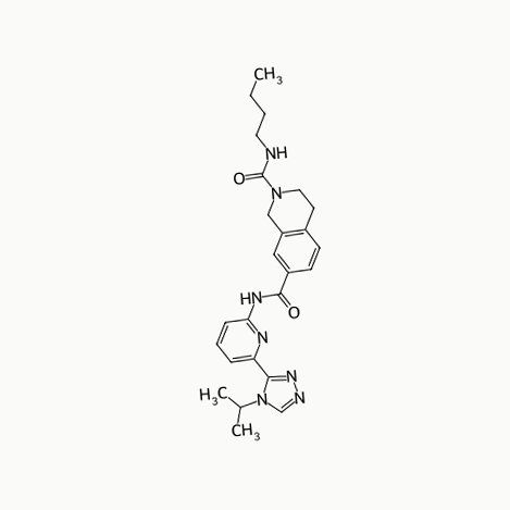 CCCCNC(=O)N1CCc2ccc(C(=O)Nc3cccc(-c4nncn4C(C)C)n3)cc2C1